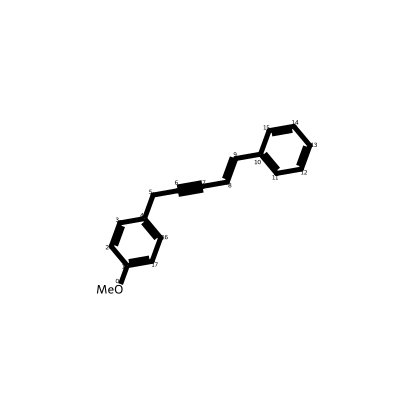 COc1ccc(CC#CC=Cc2ccccc2)cc1